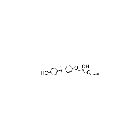 C#CCOC[C@H](O)COc1ccc(C(C)(C)c2ccc(O)cc2)cc1